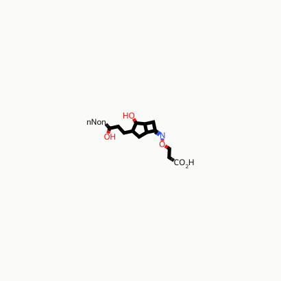 CCCCCCCCCC(O)CCC1CC2C(=NOCCC(=O)O)CC2C1O